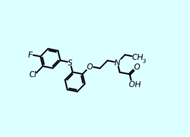 CCN(CCOc1ccccc1Sc1ccc(F)c(Cl)c1)CC(=O)O